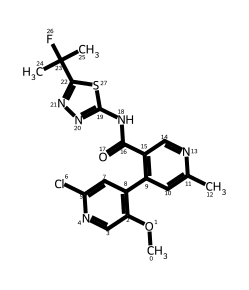 COc1cnc(Cl)cc1-c1cc(C)ncc1C(=O)Nc1nnc(C(C)(C)F)s1